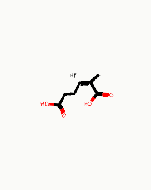 CC(=CCCC(=O)O)C(=O)O.[Hf]